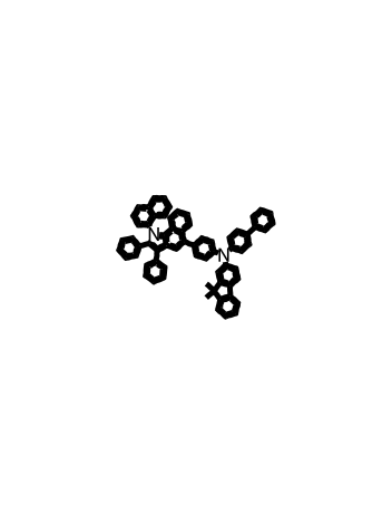 CC1(C)c2ccccc2-c2ccc(N(c3ccc(-c4ccccc4)cc3)c3ccc(-c4cc5c(-c6ccccc6)c(-c6ccccc6)n(-c6cccc7ccccc67)c5c5ccccc45)cc3)cc21